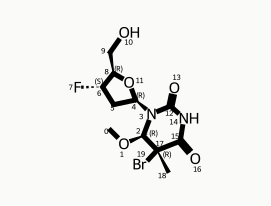 CO[C@H]1N([C@H]2C[C@H](F)[C@@H](CO)O2)C(=O)NC(=O)[C@]1(C)Br